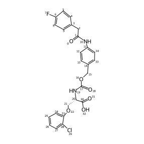 O=C(Cc1ccc(F)cc1)Nc1ccc(COC(=O)N[C@@H](COc2ccccc2Cl)C(=O)O)cc1